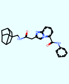 O=C(Cc1cn2c(C(=O)Nc3ccccc3)cccc2n1)NCC12CC3CC(CC(C3)C1)C2